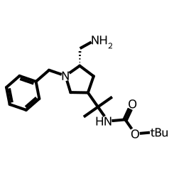 CC(C)(C)OC(=O)NC(C)(C)C1C[C@@H](CN)N(Cc2ccccc2)C1